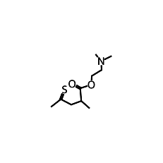 CC(=S)CC(C)C(=O)OCCN(C)C